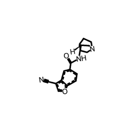 N#Cc1coc2ccc(C(=O)N[C@H]3CN4CCC3CC4)cc12